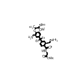 CCC(CC)(c1ccc(OC(C)C(O)C(C)(C)C)c(CN)c1)c1ccc(C(=O)NCC(=O)OC)c(CN)c1